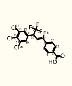 O=C(O)c1ccc(/C(F)=C/C(c2cc(Cl)c(Cl)c(Cl)c2)C(F)(F)F)cc1